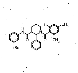 Cc1cc(C)c(C(=O)N2CCCC(C(=O)Nc3cccc(C(C)(C)C)c3)C2c2ccccc2)c(F)c1